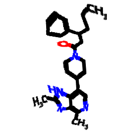 CCCC(CC(=O)N1CCC(c2cnc(C)c3nc(C)[nH]c23)CC1)c1ccccc1